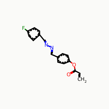 C=CC(=O)Oc1ccc(/C=N/N=C/c2ccc(F)cc2)cc1